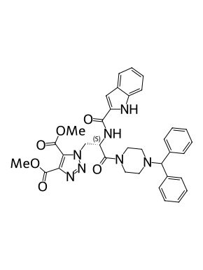 COC(=O)c1nnn(C[C@H](NC(=O)c2cc3ccccc3[nH]2)C(=O)N2CCN(C(c3ccccc3)c3ccccc3)CC2)c1C(=O)OC